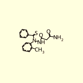 Cc1ccccc1N(NC(=O)CC(N)=O)C(=S)c1ccccc1